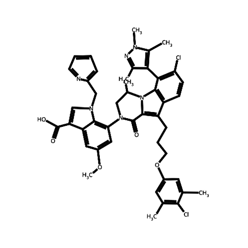 COc1cc(N2CC(C)n3c(c(CCCOc4cc(C)c(Cl)c(C)c4)c4ccc(Cl)c(-c5c(C)nn(C)c5C)c43)C2=O)c2c(c1)c(C(=O)O)cn2Cc1ccccn1